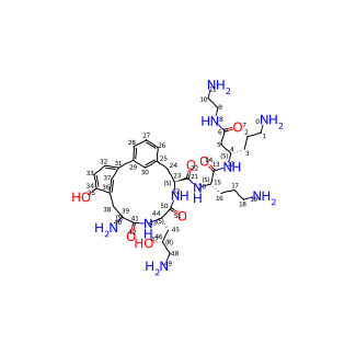 NCCC[C@@H](CC(=O)NCCN)NC(=O)[C@H](CCCN)NC(=O)[C@@H]1Cc2cccc(c2)-c2ccc(O)c(c2)C[C@H](N)C(=O)N[C@@H](C[C@@H](O)CN)C(=O)N1